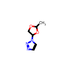 CC1OCC(n2ccnn2)O1